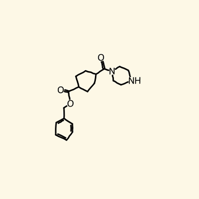 O=C(OCc1ccccc1)C1CCC(C(=O)N2CCNCC2)CC1